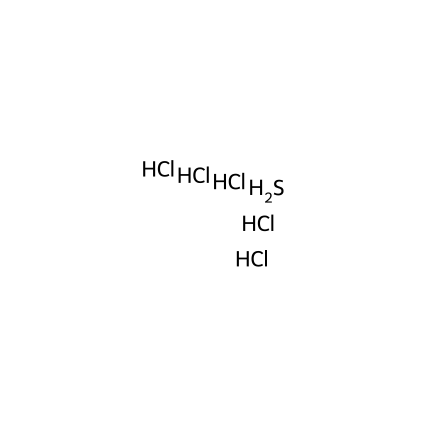 Cl.Cl.Cl.Cl.Cl.S